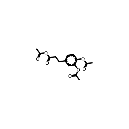 CC(=O)OC(=O)CCc1ccc(OC(C)=O)c(OC(C)=O)c1